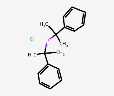 CC(C)([I+]C(C)(C)c1ccccc1)c1ccccc1.[Cl-]